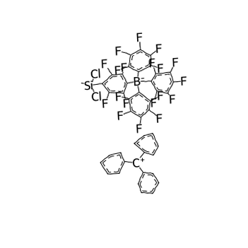 C[Si](Cl)(Cl)c1c(F)c(F)c([B-](c2c(F)c(F)c(F)c(F)c2F)(c2c(F)c(F)c(F)c(F)c2F)c2c(F)c(F)c(F)c(F)c2F)c(F)c1F.c1ccc([C+](c2ccccc2)c2ccccc2)cc1